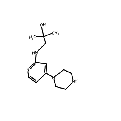 CC(C)(O)CNc1cc(N2CCNCC2)ccn1